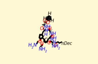 CCCCCCCCCCCCCC(=O)N[C@@H](CN)C(=O)N(C)[C@@H]1C(=O)N[C@@H](C)C(=O)N[C@H](C(=O)N[C@@H](C)B2O[C@@H]3C[C@@H]4C[C@@H](C4(C)C)[C@]3(C)O2)Cc2ccc(OCCN)c(c2)-c2cc1ccc2OCCN